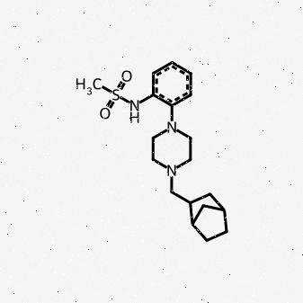 CS(=O)(=O)Nc1ccccc1N1CCN(CC2CC3CCC2C3)CC1